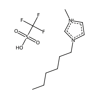 CCCCCCn1cc[n+](C)c1.O=S(=O)(O)C(F)(F)F